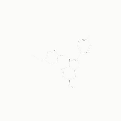 COc1ccc2c(Oc3ccc(OC(C)(C)C)cc3)c(-c3ccc(F)cc3)sc2c1